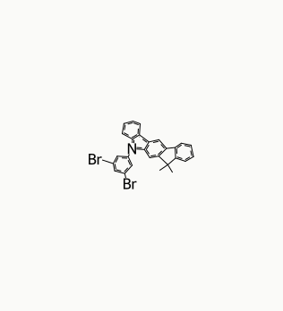 CC1(C)c2ccccc2-c2cc3c4ccccc4n(-c4cc(Br)cc(Br)c4)c3cc21